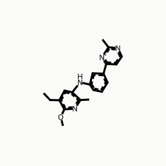 CCc1cc(Nc2cccc(-c3ccnc(C)n3)c2)c(C)nc1OC